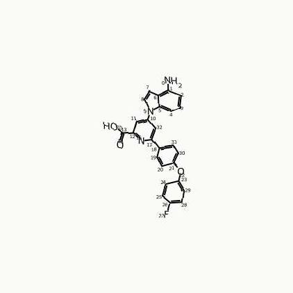 Nc1cccc2c1ccn2-c1cc(C(=O)O)nc(-c2ccc(Oc3ccc(F)cc3)cc2)c1